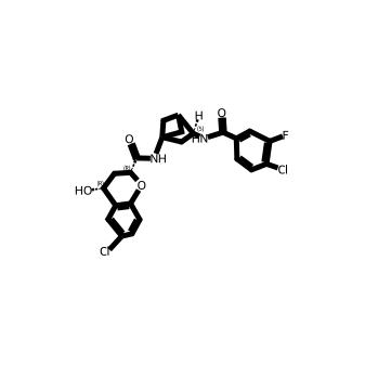 O=C(N[C@H]1CC2(NC(=O)[C@H]3C[C@@H](O)c4cc(Cl)ccc4O3)CC1C2)c1ccc(Cl)c(F)c1